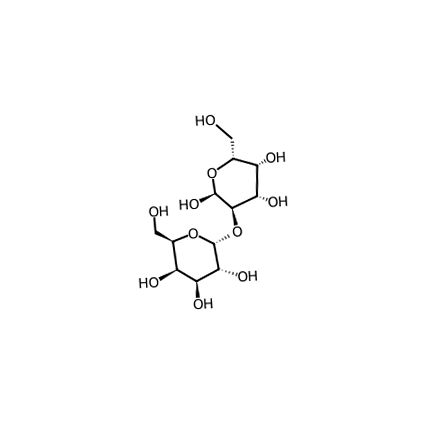 OC[C@H]1O[C@H](O[C@@H]2[C@@H](O)[C@@H](O)[C@@H](CO)O[C@@H]2O)[C@H](O)[C@@H](O)[C@H]1O